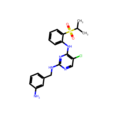 CC(C)S(=O)(=O)c1ccccc1Nc1nc(NCc2cccc(N)c2)ncc1Cl